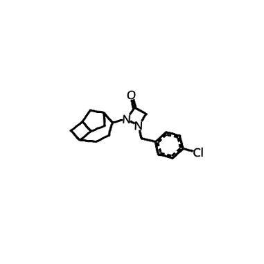 O=C1CN(Cc2ccc(Cl)cc2)N1C1CCC2CC3CC1CC23